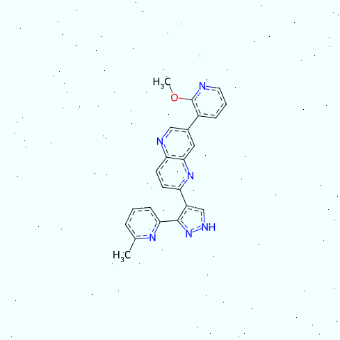 COc1ncccc1-c1cnc2ccc(-c3c[nH]nc3-c3cccc(C)n3)nc2c1